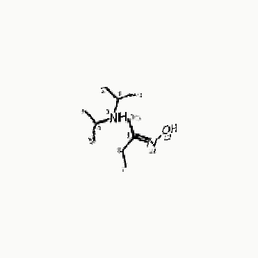 CC(C)NC(C)C.CCC(C)=NO